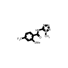 CSc1cc(C(F)(F)F)ccc1C(=O)Nc1nnnn1C